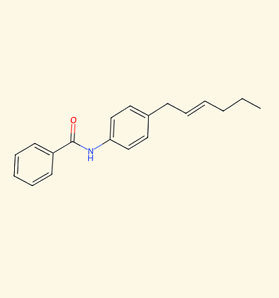 CCCC=CCc1ccc(NC(=O)c2ccccc2)cc1